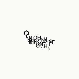 CN1C(=O)[C@H](NC(O)c2ncn(Cc3ccccc3)n2)CCn2nc(C3CC3(F)F)cc21